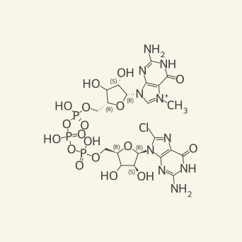 C[n+]1cn([C@@H]2O[C@H](COP(=O)(O)OP(=O)(O)OP(=O)(O)OC[C@H]3O[C@@H](n4c(Cl)nc5c(=O)[nH]c(N)nc54)[C@@H](O)C3O)C(O)[C@@H]2O)c2nc(N)[nH]c(=O)c21